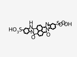 O=C1c2ccc3c(=O)n4c5ccc(SOOO)cc5nc4c4ccc(c2c34)C2Nc3cc(S(=O)(=O)O)ccc3N12